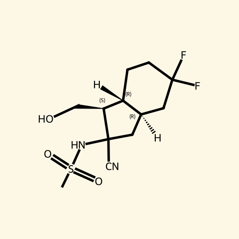 CS(=O)(=O)NC1(C#N)C[C@@H]2CC(F)(F)CC[C@H]2[C@@H]1CO